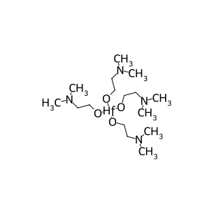 CN(C)CC[O][Hf]([O]CCN(C)C)([O]CCN(C)C)[O]CCN(C)C